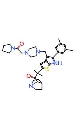 Cc1cc(C)cc(-c2[nH]c3sc(C(C)(C)C(=O)C4C5CCN4CC5)cc3c2CN2CCN(CC(=O)N3CCCC3)CC2)c1